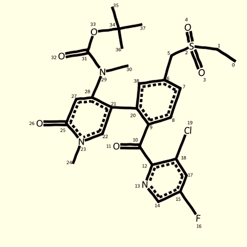 CCS(=O)(=O)Cc1ccc(C(=O)c2ncc(F)cc2Cl)c(-c2cn(C)c(=O)cc2N(C)C(=O)OC(C)(C)C)c1